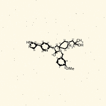 COc1cccc(CN2C(=O)N(c3ccc(-c4cn[nH]c4)cn3)CC23CCN(CC(C)(C)O)CC3)c1